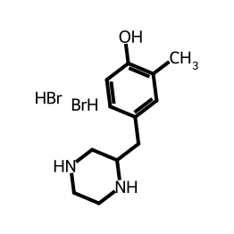 Br.Br.Cc1cc(CC2CNCCN2)ccc1O